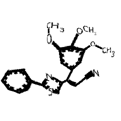 COc1cc(/C(=C\C#N)c2csc(-c3ccccc3)n2)cc(OC)c1OC